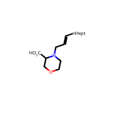 CCCCCCCC=CCN1CCOCC1C(=O)O